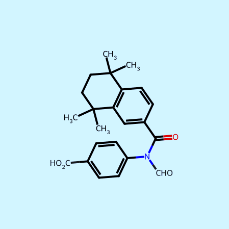 CC1(C)CCC(C)(C)c2cc(C(=O)N(C=O)c3ccc(C(=O)O)cc3)ccc21